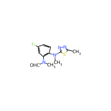 Cc1nnc(N(C)c2ccc(F)cc2N(C)C=O)s1